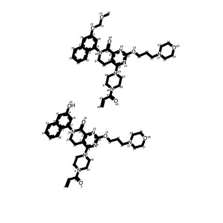 C=CC(=O)N1CCN(c2nc(OCCCN3CCOCC3)nc3c2CCN(c2cc(O)cc4ccccc24)C3=O)CC1.C=CC(=O)N1CCN(c2nc(OCCCN3CCOCC3)nc3c2CCN(c2cc(OCOC)cc4ccccc24)C3=O)CC1